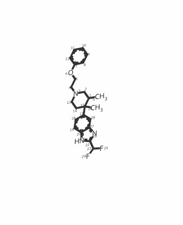 CC1CN(CCOc2ccccc2)CCC1(C)c1ccc2[nH]c(C(F)F)nc2c1